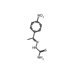 CC(=NNC(N)=S)c1ccc([N+](=O)[O-])cc1